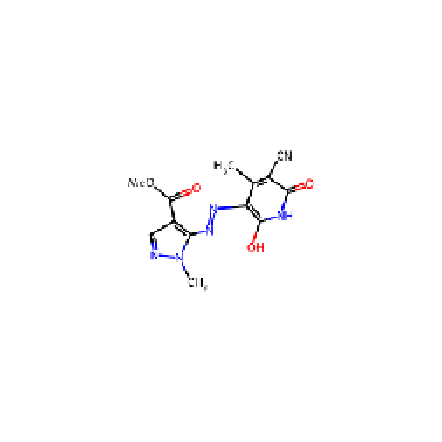 COC(=O)c1cnn(C)c1/N=N/c1c(O)[nH]c(=O)c(C#N)c1C